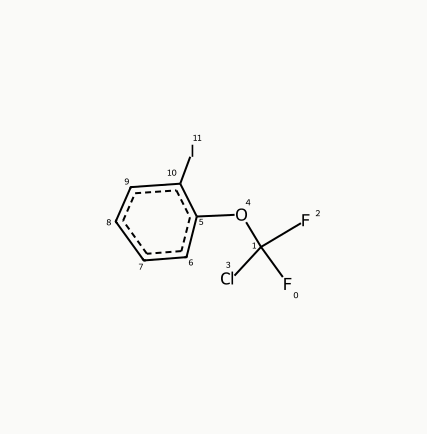 FC(F)(Cl)Oc1ccccc1I